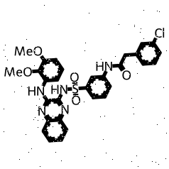 COc1cccc(Nc2nc3ccccc3nc2NS(=O)(=O)c2cccc(NC(=O)Cc3cccc(Cl)c3)c2)c1OC